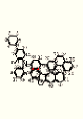 Cc1cc(-c2ccccc2)ccc1N(c1ccc(-c2ccc3c(ccc4ccccc43)c2)cc1)c1ccccc1-c1ccc2c(c1)oc1cc3ccccc3cc12